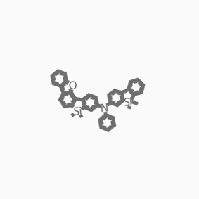 C[Si]1(C)c2ccccc2-c2ccc(N(c3ccccc3)c3ccc4c(c3)[Si](C)(C)c3ccc5c(oc6ccccc65)c3-4)cc21